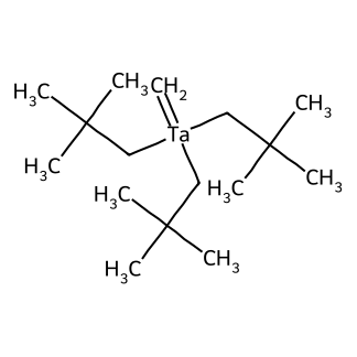 [CH2]=[Ta]([CH2]C(C)(C)C)([CH2]C(C)(C)C)[CH2]C(C)(C)C